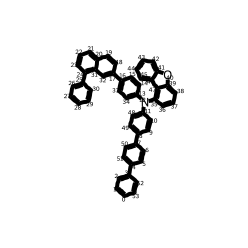 c1ccc(-c2ccc(-c3ccc(N(c4ccc(-c5ccc6cccc(-c7ccccc7)c6c5)cc4)c4cccc5oc6ccccc6c45)cc3)cc2)cc1